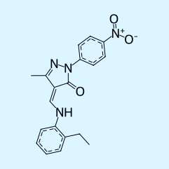 CCc1ccccc1N/C=C1\C(=O)N(c2ccc([N+](=O)[O-])cc2)N=C1C